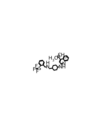 CN(C)c1cc(NC2CCC(CNCc3ccccc3SC(F)(F)F)CC2)nc2ccccc12